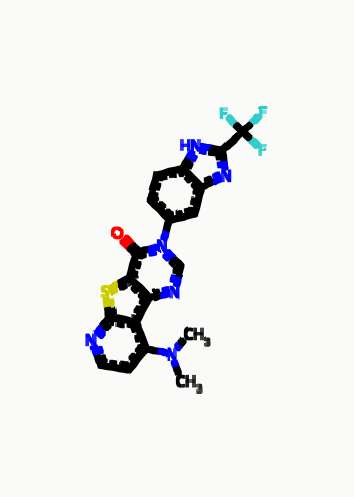 CN(C)c1ccnc2sc3c(=O)n(-c4ccc5[nH]c(C(F)(F)F)nc5c4)cnc3c12